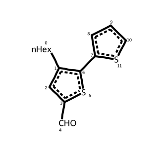 CCCCCCc1cc(C=O)sc1-c1cccs1